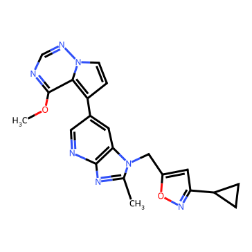 COc1ncnn2ccc(-c3cnc4nc(C)n(Cc5cc(C6CC6)no5)c4c3)c12